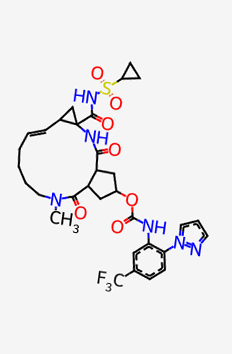 CN1CCCC/C=C/C2CC2(C(=O)NS(=O)(=O)C2CC2)NC(=O)C2CC(OC(=O)Nc3cc(C(F)(F)F)ccc3-n3cccn3)CC2C1=O